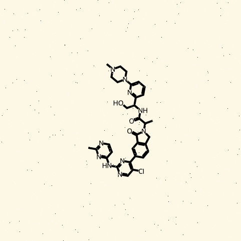 Cc1nccc(Nc2ncc(Cl)c(-c3ccc4c(c3)C(=O)N(C(C)C(=O)NC(CO)c3cccc(N5CCN(C)CC5)n3)C4)n2)n1